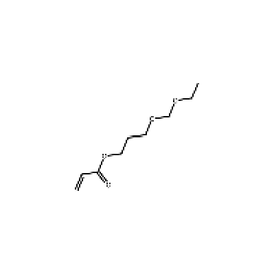 C=CC(=O)OCCCOCOCC